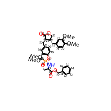 COCP(=O)(NC(C)C(=O)OCc1ccccc1)Oc1ccc(C[C@H]2C(=O)OC[C@@H]2Cc2ccc(OC)c(OC)c2)cc1OC